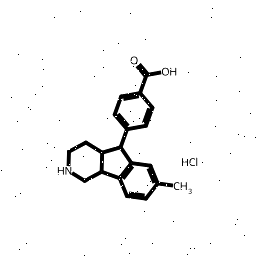 Cc1ccc2c(c1)C(c1ccc(C(=O)O)cc1)C1CCNCC21.Cl